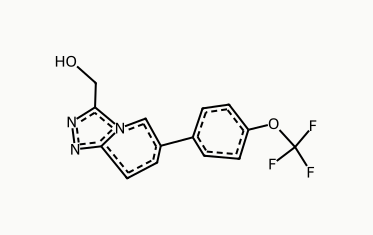 OCc1nnc2ccc(-c3ccc(OC(F)(F)F)cc3)cn12